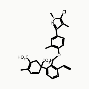 C=Cc1cccc(C2(C(=O)O)C=CC(C)=C(C(=O)O)C2)c1COc1ccc(-c2nn(C)c(Cl)c2C)cc1C